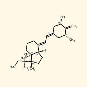 C=C1[C@H](C)C/C(=C\C=C2/CCC[C@@]3(C)[C@H]2CC[C@]3(C)C(C)(C)CC)C[C@H]1O